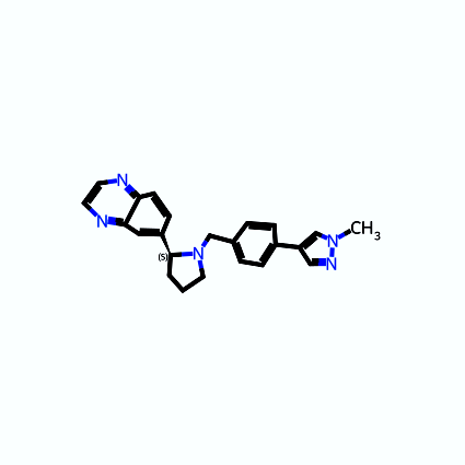 Cn1cc(-c2ccc(CN3CCC[C@H]3c3ccc4nccnc4c3)cc2)cn1